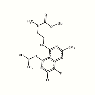 CCC(C)C(C)Oc1nc(Cl)c(F)c2nc(SC)nc(NCCN(C)C(=O)OC(C)(C)C)c12